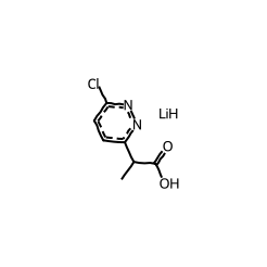 CC(C(=O)O)c1ccc(Cl)nn1.[LiH]